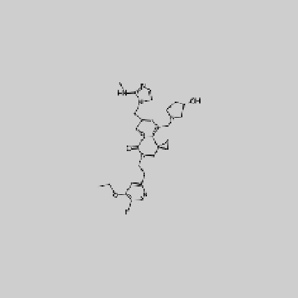 CCOc1cc(CCN2CC3(CC3)c3c(CN4CC[C@H](O)C4)cc(Cn4ccnc4NC)cc3C2=O)ncc1F